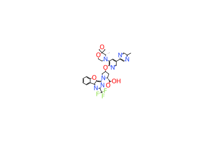 Cc1cnc(-c2cnc(O[C@H]3C[C@@H](C(=O)O)N(c4nc(C(F)(F)F)nc5c4oc4ccccc45)C3)c(N3CCOC4(COC4)[C@@H]3C)c2)cn1